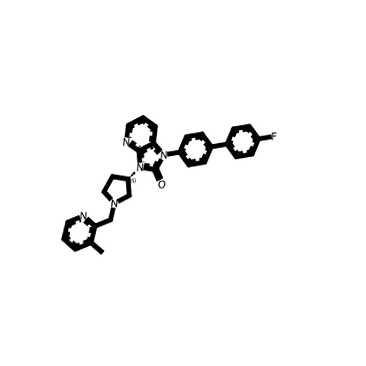 Cc1cccnc1CN1CC[C@H](n2c(=O)n(-c3ccc(-c4ccc(F)cc4)cc3)c3cccnc32)C1